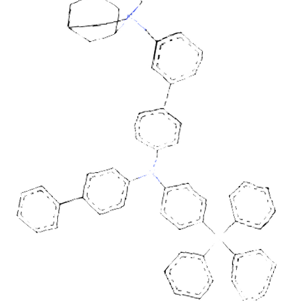 c1ccc(-c2ccc(N(c3ccc(-c4cccc(N5C6CC7CC(C6)CC5C7)c4)cc3)c3ccc([Si](c4ccccc4)(c4ccccc4)c4ccccc4)cc3)cc2)cc1